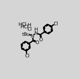 CC(C)(C)N(NC(=O)c1ccc(Cl)cc1)C(=O)c1cccc(Cl)c1.Cl.Cl.Cl